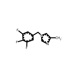 [CH2]c1cn(Cc2cc(F)c(F)c(F)c2)cn1